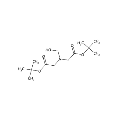 CC(C)(C)OC(=O)CN(CO)CC(=O)OC(C)(C)C